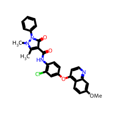 COc1ccc2c(Oc3ccc(NC(=O)c4c(C)n(C)n(-c5ccccc5)c4=O)c(Cl)c3)ccnc2c1